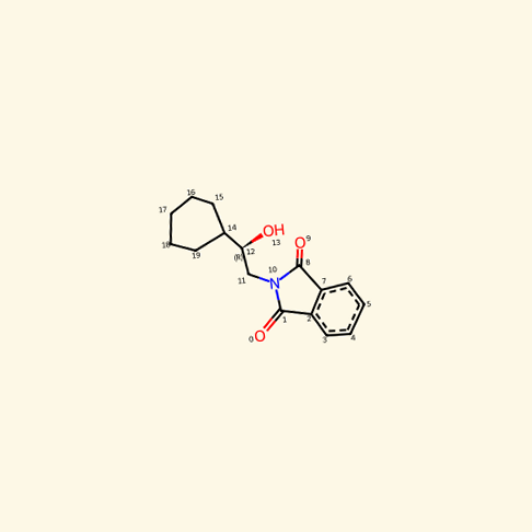 O=C1c2ccccc2C(=O)N1C[C@H](O)C1CCCCC1